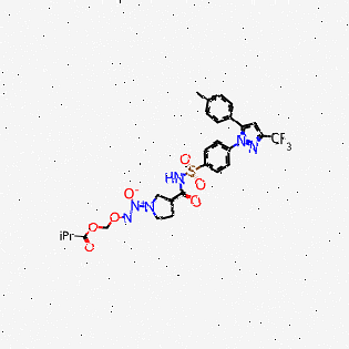 Cc1ccc(-c2cc(C(F)(F)F)nn2-c2ccc(S(=O)(=O)NC(=O)C3CCN(/[N+]([O-])=N/OCOC(=O)C(C)C)C3)cc2)cc1